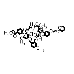 COC(=O)c1ccc(C)c(-n2c(C)cc(OCc3ccc(C)cc3CNC(=O)Nc3cc(C(C)(C)C)nn3-c3cccc(OCCOC4CCCCO4)c3)c(Cl)c2=O)c1